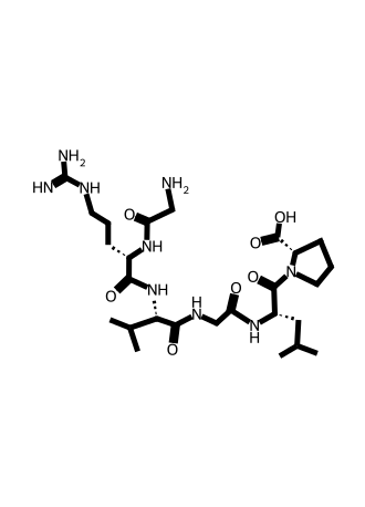 CC(C)C[C@H](NC(=O)CNC(=O)[C@@H](NC(=O)[C@H](CCCNC(=N)N)NC(=O)CN)C(C)C)C(=O)N1CCC[C@H]1C(=O)O